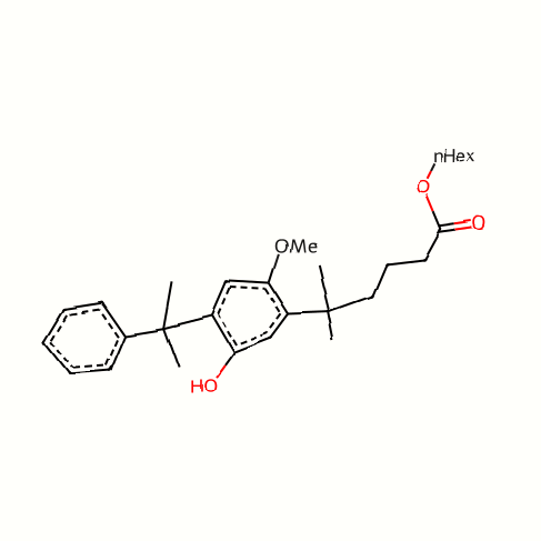 CCCCCCOC(=O)CCCC(C)(C)c1cc(O)c(C(C)(C)c2ccccc2)cc1OC